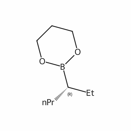 CCC[C@@H](CC)B1OCCCO1